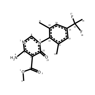 COC(=O)c1c(N)ncn(-c2c(C)cc(C(C)(F)F)cc2C)c1=O